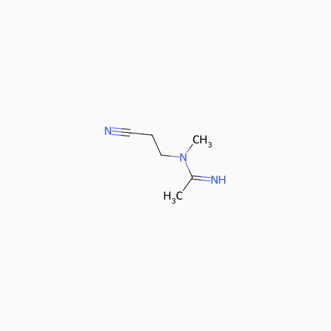 CC(=N)N(C)CCC#N